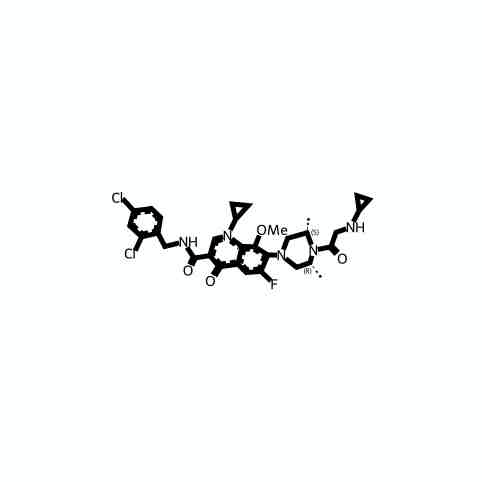 COc1c(N2C[C@@H](C)N(C(=O)CNC3CC3)[C@@H](C)C2)c(F)cc2c(=O)c(C(=O)NCc3ccc(Cl)cc3Cl)cn(C3CC3)c12